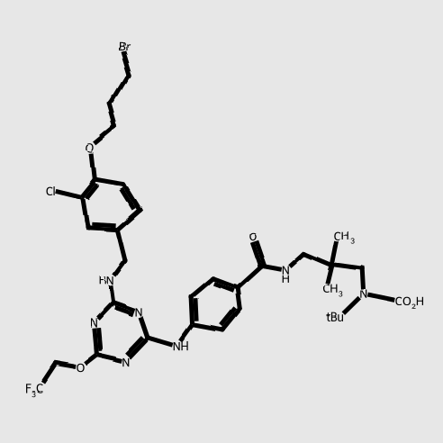 CC(C)(CNC(=O)c1ccc(Nc2nc(NCc3ccc(OCCCBr)c(Cl)c3)nc(OCC(F)(F)F)n2)cc1)CN(C(=O)O)C(C)(C)C